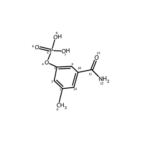 Cc1cc(OP(=O)(O)O)cc(C(N)=O)c1